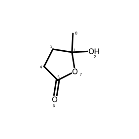 CC1(O)CCC(=O)O1